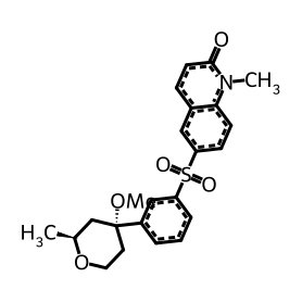 CO[C@]1(c2cccc(S(=O)(=O)c3ccc4c(ccc(=O)n4C)c3)c2)CCO[C@@H](C)C1